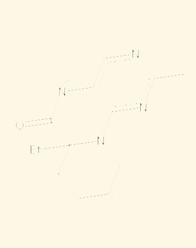 CCC12CCCCN1c1nc(C)ncc1N(C)C2=O